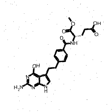 COC(=O)[C@H](CCC(=O)O)NC(=O)c1ccc(CCc2c[nH]c3nc(N)nc(O)c23)cc1